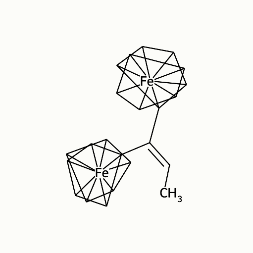 CC=C([C]12[CH]3[CH]4[CH]5[CH]1[Fe]45321678[CH]2[CH]1[CH]6[CH]7[CH]28)[C]12[CH]3[CH]4[CH]5[CH]1[Fe]45321678[CH]2[CH]1[CH]6[CH]7[CH]28